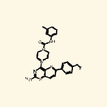 Cc1cccc(NC(=O)N2CCN(c3nc(N)nc4ccc(-c5ccc(CF)cc5)nc34)CC2)c1